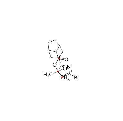 CC(C)(C)OC(=O)C1C2CCC1CN(c1nc(Br)cs1)C2